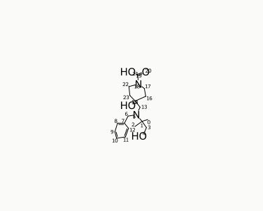 CC(C)(CO)N(Cc1ccccc1)CC1(O)CCN(C(=O)O)CC1